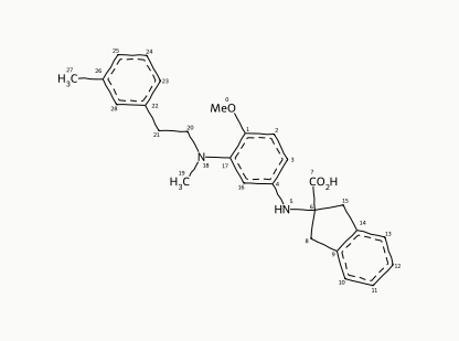 COc1ccc(NC2(C(=O)O)Cc3ccccc3C2)cc1N(C)CCc1cccc(C)c1